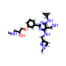 CNCC(O)COc1cccc(-c2nc(NCc3ccn(C)n3)c(C=N)c(NC3CC3)n2)c1